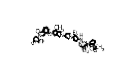 CCc1cc(Nc2ncc(Cl)c(Nc3ccccc3P(C)(C)=O)n2)ccc1N1CCC(N2Cc3cc(Oc4cccc5c4CN(C4CCC(=O)NC4=O)C5=O)cc(C)c3C2)CC1